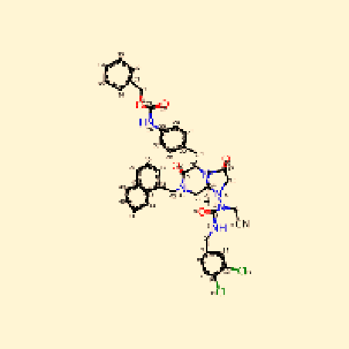 N#CCN(C(=O)NCc1ccc(Cl)c(Cl)c1)N1CC(=O)N2[C@@H](Cc3ccc(NC(=O)OCc4ccccc4)cc3)C(=O)N(Cc3cccc4ccccc34)C[C@@H]21